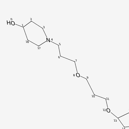 OC1CCN(CCCOCCCOC2CCC2)CC1